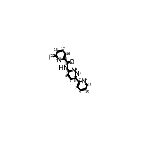 O=C(Nc1ccc(-c2ccccn2)nn1)c1cccc(F)n1